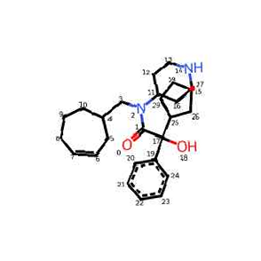 O=C(N(CC1CC=CCCC1)C1CCNCC1)C(O)(c1ccccc1)C1CCCC1